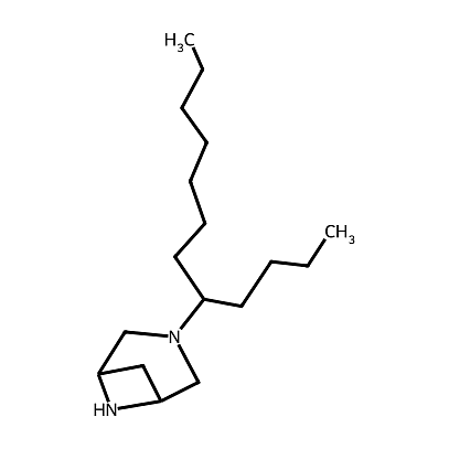 CCCCCCCC(CCCC)N1CC2CC(C1)N2